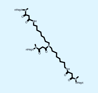 CCCCCCCN(C)C(=O)CC(=O)NCCCCCCCCN(CCCCCCCCNC(=O)CC(=O)N(C)CCCCCCC)C(=O)CC(=O)N(C)CCCCCCC